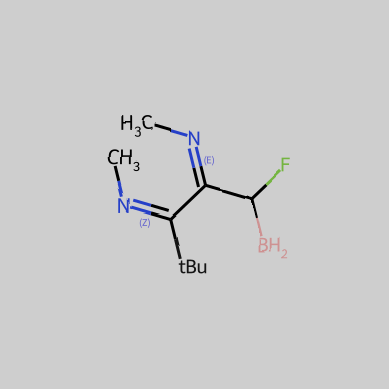 BC(F)C(=N/C)/C(=N\C)C(C)(C)C